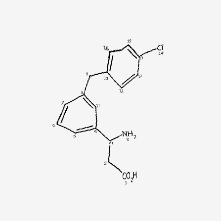 NC(CC(=O)O)c1cccc(Cc2ccc(Cl)cc2)c1